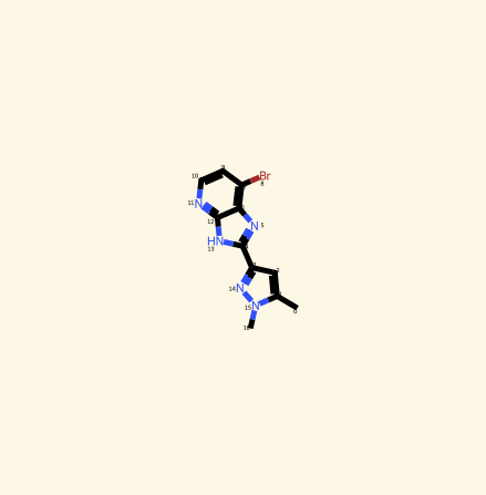 Cc1cc(-c2nc3c(Br)ccnc3[nH]2)nn1C